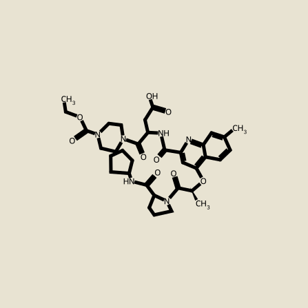 CCOC(=O)N1CCN(C(=O)C(CC(=O)O)NC(=O)c2cc(O[C@@H](C)C(=O)N3CCCC3C(=O)NC3CCCC3)c3ccc(C)cc3n2)CC1